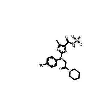 Cc1sc(N(CC(=O)N2CCCCC2)c2ccc(C#N)cc2)nc1C(=O)NS(C)(=O)=O